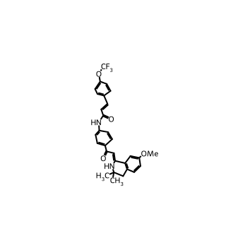 COc1ccc2c(c1)/C(=C/C(=O)c1ccc(NC(=O)C=Cc3ccc(OC(F)(F)F)cc3)cc1)NC(C)(C)C2